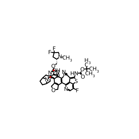 CN1CC(F)(F)C[C@H]1COc1nc(N2C3CCC2CN(C(=O)O)C3)c2c3c(c(-c4ncc(F)c5sc(NC(=O)OC(C)(C)C)c(C#N)c45)c(F)c2n1)COC3